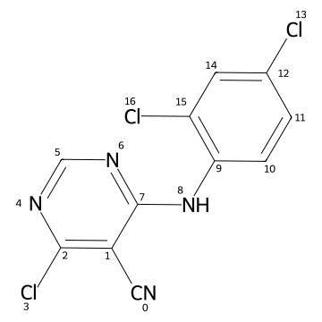 N#Cc1c(Cl)ncnc1Nc1ccc(Cl)cc1Cl